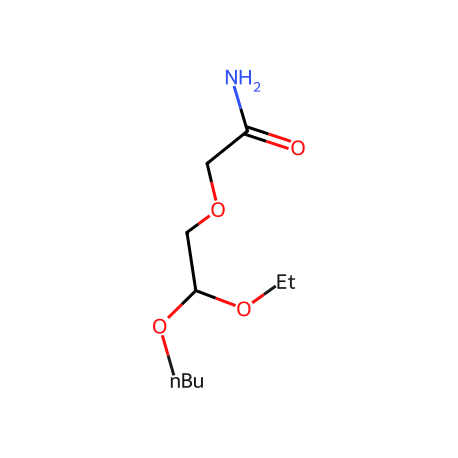 CCCCOC(COCC(N)=O)OCC